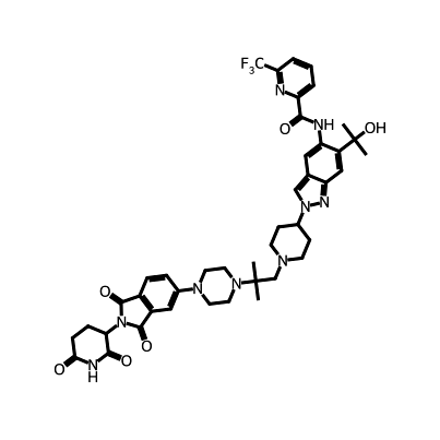 CC(C)(O)c1cc2nn(C3CCN(CC(C)(C)N4CCN(c5ccc6c(c5)C(=O)N(C5CCC(=O)NC5=O)C6=O)CC4)CC3)cc2cc1NC(=O)c1cccc(C(F)(F)F)n1